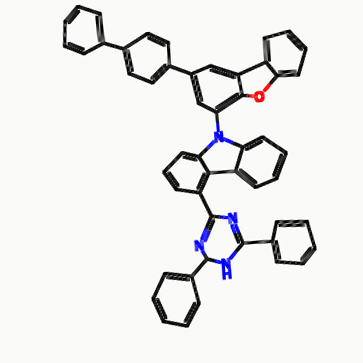 c1ccc(C2=NC(c3cccc4c3c3ccccc3n4-c3cc(-c4ccc(-c5ccccc5)cc4)cc4c3oc3ccccc34)=NC(c3ccccc3)N2)cc1